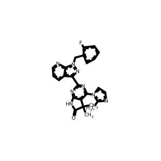 Cc1nccn1-c1nc(-c2nn(Cc3ccccc3F)c3ncccc23)nc2c1C(C)(C)C(=O)N2